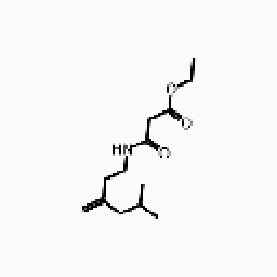 C=C(CCNC(=O)CC(=O)OCC)CC(C)C